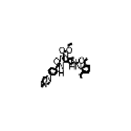 CCOC(=O)n1nc(NC(=O)c2ccc(N3CCN(C)CC3)cc2)c2c1CN(C(=O)Nc1c(CC)cccc1CC)C2